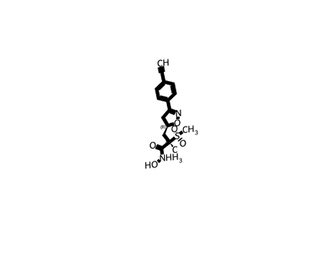 C#Cc1ccc(C2=NO[C@@H](C[C@](C)(C(=O)NO)S(C)(=O)=O)C2)cc1